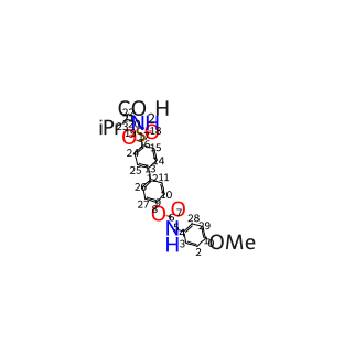 COc1ccc(NC(=O)Oc2ccc(-c3ccc(S(=O)(=O)N[C@@H](C(=O)O)C(C)C)cc3)cc2)cc1